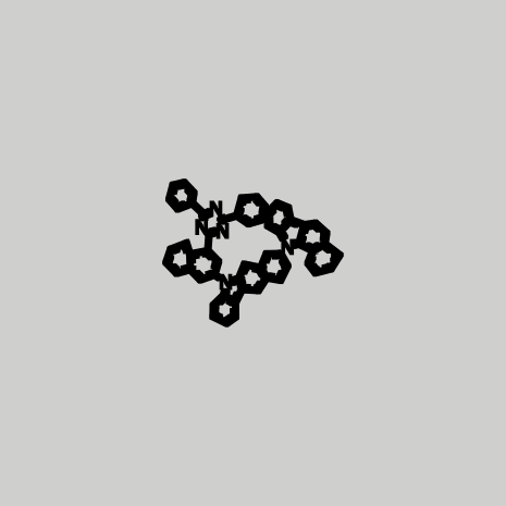 c1ccc(-c2nc(-c3ccccc3)nc(-c3cc(-n4c5ccccc5c5cc6ccc(-n7c8ccccc8c8ccc9ccccc9c87)cc6cc54)cc4ccccc34)n2)cc1